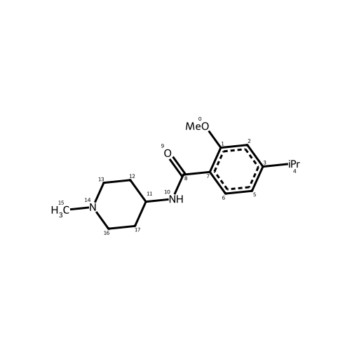 COc1cc(C(C)C)ccc1C(=O)NC1CCN(C)CC1